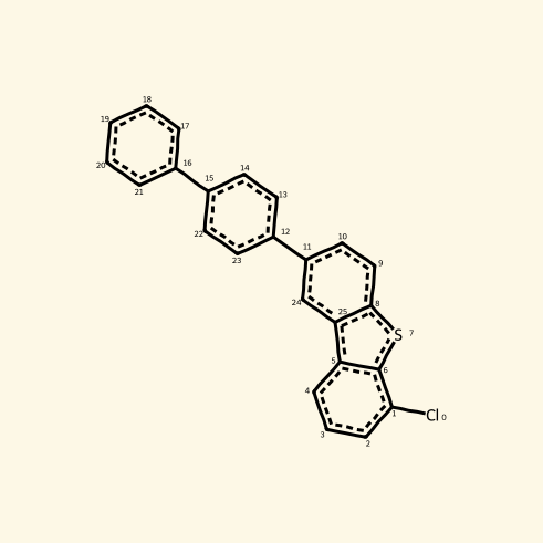 Clc1cccc2c1sc1ccc(-c3ccc(-c4ccccc4)cc3)cc12